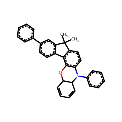 CC1(C)c2cc(-c3ccccc3)ccc2-c2c1ccc1c2OC2C=CC=CC2N1c1ccccc1